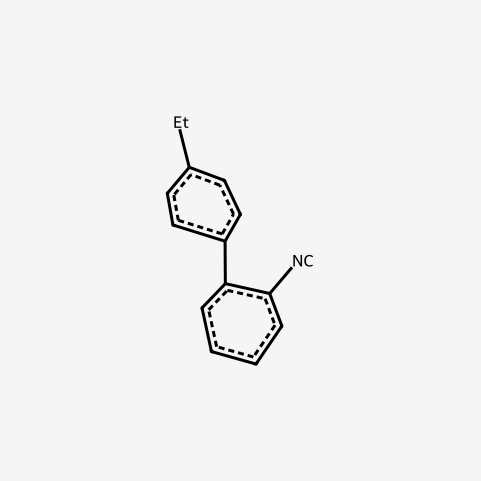 [C-]#[N+]c1ccccc1-c1ccc(CC)cc1